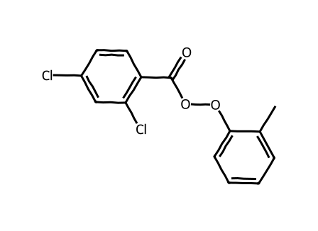 Cc1ccccc1OOC(=O)c1ccc(Cl)cc1Cl